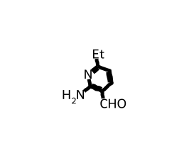 CCc1ccc(C=O)c(N)n1